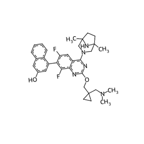 CN(C)CC1(COc2nc(N3CC4(C)CCC(C)(C3)N4)c3cc(F)c(-c4cc(O)cc5ccccc45)c(F)c3n2)CC1